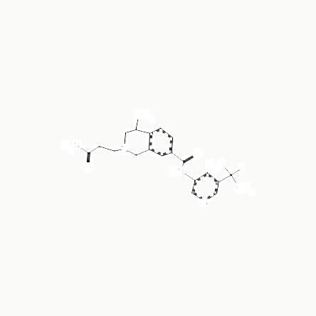 CC1CN(CCC(N)=O)Cc2cc(C(=O)Nc3cncc(C(C)(C)F)c3)ccc21